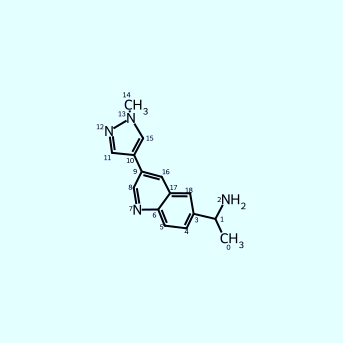 CC(N)c1ccc2ncc(-c3cnn(C)c3)cc2c1